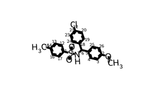 COc1ccc(C(NS(=O)(=O)c2ccc(C)cc2)c2ccc(Cl)cc2)cc1